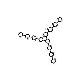 C1=CC(c2ccc3c4cc(-c5ccc(-c6ccc(-c7ccccn7)cn6)cn5)ccc4c4cc(-c5ccc(-c6ccc(-c7ccccn7)cn6)cn5)ccc4c3c2)NC=C1c1ccc(-c2ccccn2)cn1